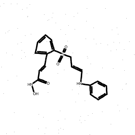 O=C(C=Cc1ccccc1S(=O)(=O)CC=CNc1ccccc1)NO